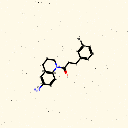 N#Cc1cccc(CCC(=O)N2CCCc3cc(N)ccc32)c1